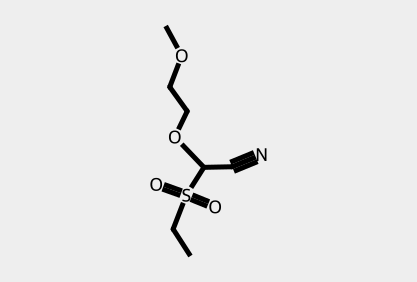 CCS(=O)(=O)C(C#N)OCCOC